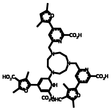 Cc1cc(C)c(-c2cc(CN3CCN(Cc4cc(-c5oc(C)c(C=O)c5C)cc(C(=O)O)n4)CCN(C4C=C(c5oc(C)c(C(=O)O)c5C)C=C(C(=O)O)N4)CC3)nc(C(=O)O)c2)o1